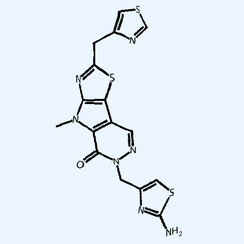 Cn1c2nc(Cc3cscn3)sc2c2cnn(Cc3csc(N)n3)c(=O)c21